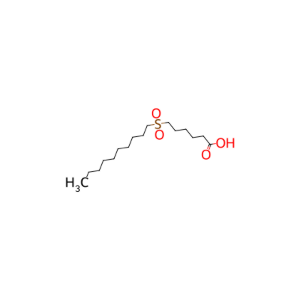 CCCCCCCCCCS(=O)(=O)CCCCCC(=O)O